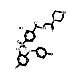 Cl.O=C(NCC(=O)N1CCNCC1)c1ccc(S(=O)(=O)Nc2cc(F)ccc2Oc2ccc(F)cc2)cc1